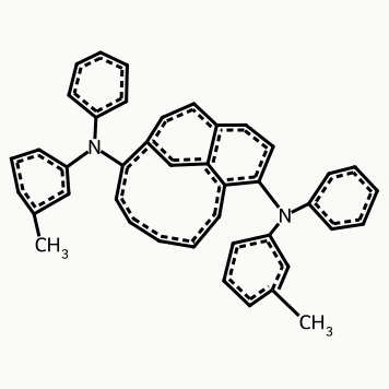 Cc1cccc(N(c2ccccc2)c2cccccc3c(N(c4ccccc4)c4cccc(C)c4)ccc4ccc2cc43)c1